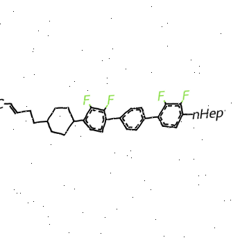 C/C=C/CCC1CCC(c2ccc(-c3ccc(-c4ccc(CCCCCCC)c(F)c4F)cc3)c(F)c2F)CC1